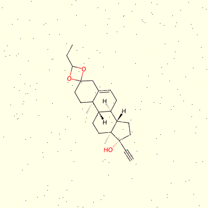 C#C[C@]1(O)CC[C@H]2[C@@H]3CC=C4CC5(CC[C@]4(C)[C@H]3CC[C@@]21C)OC(CC)O5